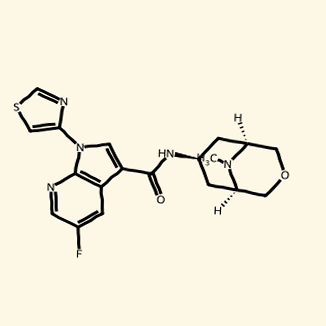 CN1[C@@H]2COC[C@H]1C[C@@H](NC(=O)c1cn(-c3cscn3)c3ncc(F)cc13)C2